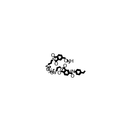 CCc1ccc(NC(=O)c2ccc3c(c2)C(=O)N(CCC[Si](C)(C)O[Si](C)(C)O[Si](C)(C)CCCN2C(=O)c4ccc(CONC)cc4C2=O)C3=O)cc1